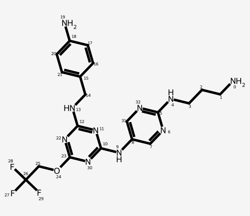 NCCCNc1ncc(Nc2nc(NCc3ccc(N)cc3)nc(OCC(F)(F)F)n2)cn1